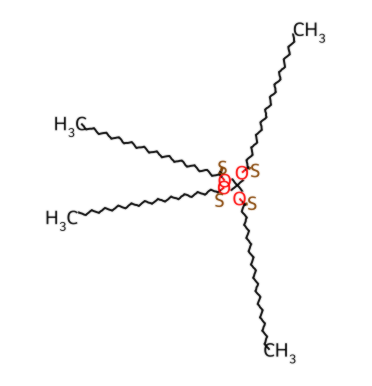 CCCCCCCCCCCCCCCCCCCCCCC(=S)OCC(COC(=S)CCCCCCCCCCCCCCCCCCCCCC)(COC(=S)CCCCCCCCCCCCCCCCCCCCCC)COC(=S)CCCCCCCCCCCCCCCCCCCCCC